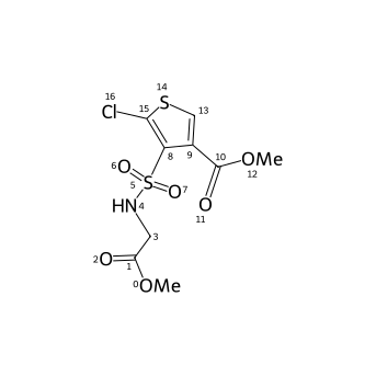 COC(=O)CNS(=O)(=O)c1c(C(=O)OC)csc1Cl